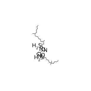 CCCCCC(C)CCCCCC(C)C[SiH2]c1cncc(-c2cccnc2O[SiH2]CCCCC(C)(C)CCCC)n1